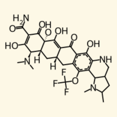 CC1CC2CNc3c(O)c4c(c(OC(F)(F)F)c3C2N1C)C[C@@H]1C[C@@H]2[C@@H](N(C)C)C(O)=C(C(N)=O)C(=O)[C@@]2(O)C(O)=C1C4=O